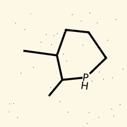 CC1CCCPC1C